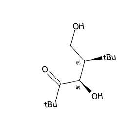 CC(C)(C)C(=O)[C@H](O)[C@@H](CO)C(C)(C)C